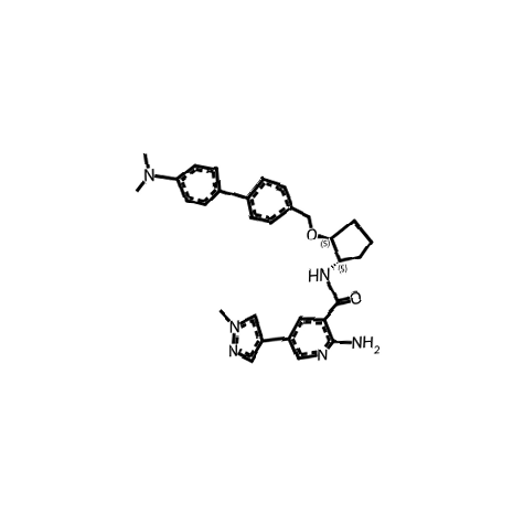 CN(C)c1ccc(-c2ccc(CO[C@H]3CCC[C@@H]3NC(=O)c3cc(-c4cnn(C)c4)cnc3N)cc2)cc1